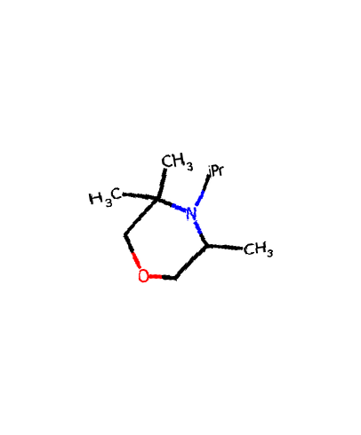 CC(C)N1C(C)COCC1(C)C